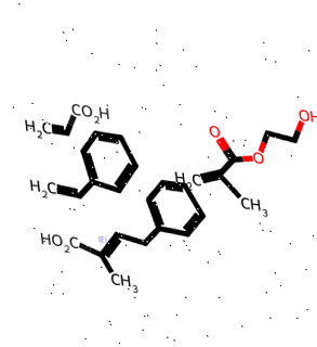 C/C(=C\Cc1ccccc1)C(=O)O.C=C(C)C(=O)OCCO.C=CC(=O)O.C=Cc1ccccc1